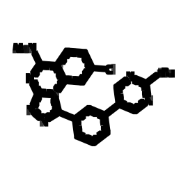 CNc1nc2nnc(-c3cccc(-c4cnc(C(C)(C)C)nc4)c3)n2c2cc(Cl)ccc12